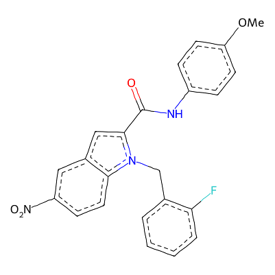 COc1ccc(NC(=O)c2cc3cc([N+](=O)[O-])ccc3n2Cc2ccccc2F)cc1